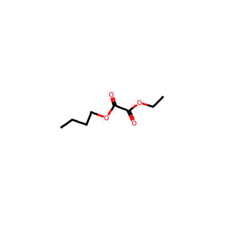 CCCCOC(=O)C(=O)OCC